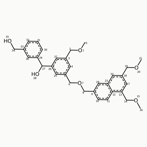 COCc1cc(COCc2ccc3c(COC)cc(COC)cc3c2)cc(C(O)c2cccc(CO)c2)c1